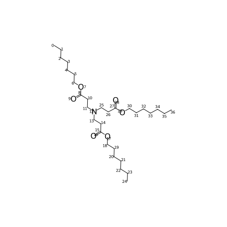 CCCCCCCOC(=O)CCN(CCC(=O)OCCCCCCC)CCC(=O)OCCCCCCC